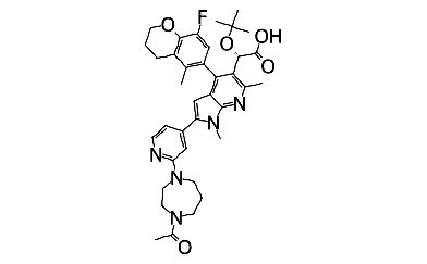 CC(=O)N1CCCN(c2cc(-c3cc4c(-c5cc(F)c6c(c5C)CCCO6)c([C@H](OC(C)(C)C)C(=O)O)c(C)nc4n3C)ccn2)CC1